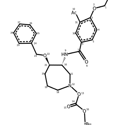 COCOc1ccc(C(=O)N[C@@H]2CN(OC(=O)OC(C)(C)C)CCC[C@H]2OCc2ccccc2)cc1C(C)=O